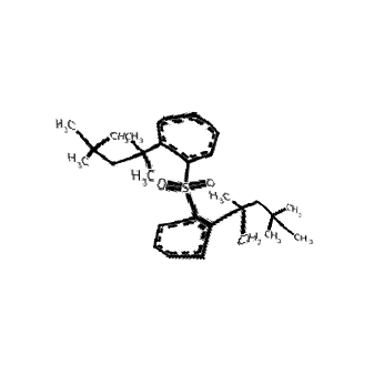 CC(C)(C)CC(C)(C)c1ccccc1S(=O)(=O)c1ccccc1C(C)(C)CC(C)(C)C